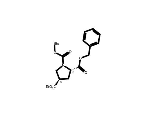 CCOC(=O)[C@@H]1C[C@@H](C(=O)OCc2ccccc2)N(C(=O)OC(C)(C)C)C1